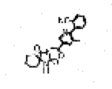 Cc1cc(C(=O)CN2C(=O)NC3(CCCCC3)C2=O)cnc1-c1ccccc1C#N